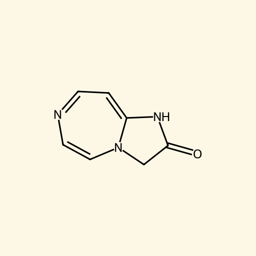 O=C1CN2C=CN=CC=C2N1